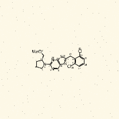 COC[C@@H]1CCCN1c1n[c]c2nc(Cc3c(Cl)cccc3Cl)sc2n1